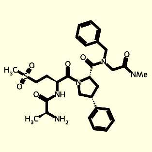 CNC(=O)CN(Cc1ccccc1)C(=O)[C@@H]1C[C@H](c2ccccc2)CN1C(=O)[C@H](CCS(C)(=O)=O)NC(=O)[C@H](C)N